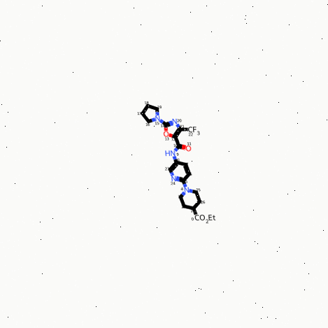 CCOC(=O)C1CCN(c2ccc(NC(=O)c3oc(N4CCCC4)nc3C(F)(F)F)cn2)CC1